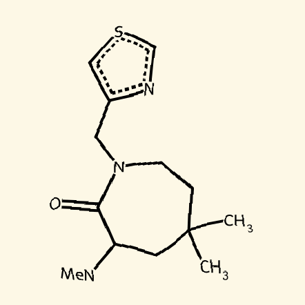 CNC1CC(C)(C)CCN(Cc2cscn2)C1=O